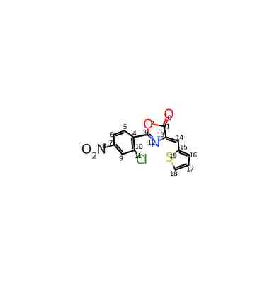 O=C1OC(c2ccc([N+](=O)[O-])cc2Cl)=NC1=Cc1cccs1